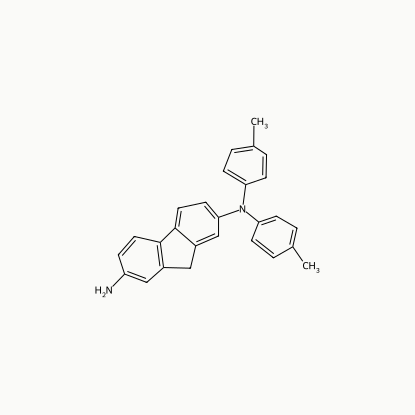 Cc1ccc(N(c2ccc(C)cc2)c2ccc3c(c2)Cc2cc(N)ccc2-3)cc1